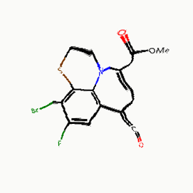 COC(=O)C1=CC(=C=O)c2cc(F)c(Br)c3c2N1CCS3